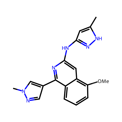 COc1cccc2c(-c3cnn(C)c3)nc(Nc3cc(C)[nH]n3)cc12